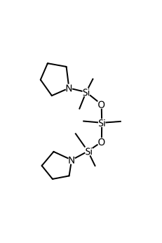 C[Si](C)(O[Si](C)(C)N1CCCC1)O[Si](C)(C)N1CCCC1